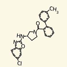 Cc1cccc(-c2ccccc2C(=O)N2CC[C@@H](Nc3nc4ccc(Cl)cc4o3)C2)c1